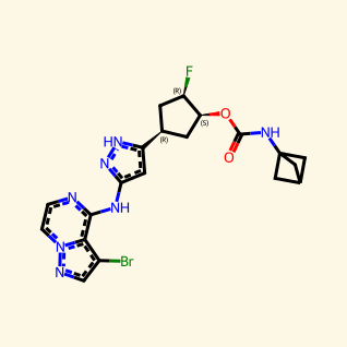 O=C(NC12CC(C1)C2)O[C@H]1C[C@@H](c2cc(Nc3nccn4ncc(Br)c34)n[nH]2)C[C@H]1F